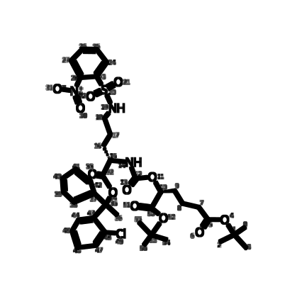 CC(C)(C)OC(=O)CCC[C@H](OC(=O)N[C@@H](CCCNS(=O)(=O)c1ccccc1[N+](=O)[O-])C(=O)OC(C)(c1ccccc1)c1ccccc1Cl)C(=O)OC(C)(C)C